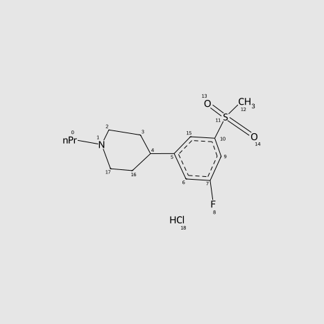 CCCN1CCC(c2cc(F)cc(S(C)(=O)=O)c2)CC1.Cl